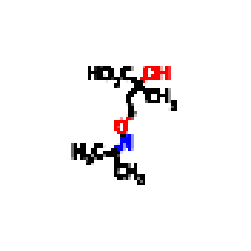 CC(C)=NOCCC(C)(O)C(=O)O